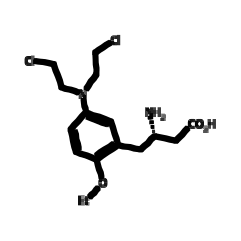 CCOc1ccc(N(CCCl)CCCl)cc1C[C@H](N)CC(=O)O